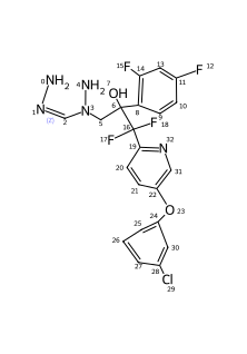 N/N=C\N(N)CC(O)(c1ccc(F)cc1F)C(F)(F)c1ccc(Oc2cccc(Cl)c2)cn1